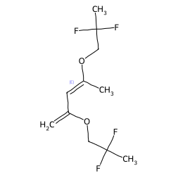 C=C(/C=C(\C)OCC(C)(F)F)OCC(C)(F)F